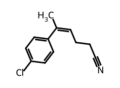 C/C(=C/CCC#N)c1ccc(Cl)cc1